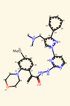 C=C(C(=O)NNc1nccc(-n2cc(CN(C)C)c(-c3ccccc3)n2)n1)c1ccc(OC)cc1N1CCOCC1